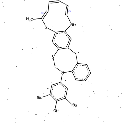 C\C1=C/C=C\C=C\Nc2cc3c(cc2S1)SON(c1cc(C(C)(C)C)c(O)c(C(C)(C)C)c1)c1ccccc1C3